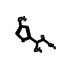 CNC(C)c1cc(C)cs1